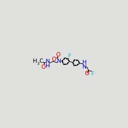 CC(=O)NCC1CN(c2ccc(-c3ccc(CNCC(=O)CF)cc3)c(F)c2)C(=O)O1